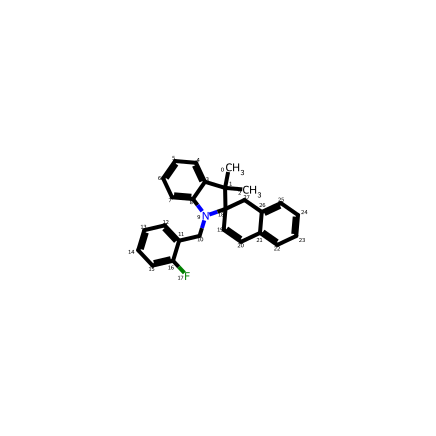 CC1(C)c2ccccc2N(Cc2ccccc2F)C12C=Cc1ccccc1C2